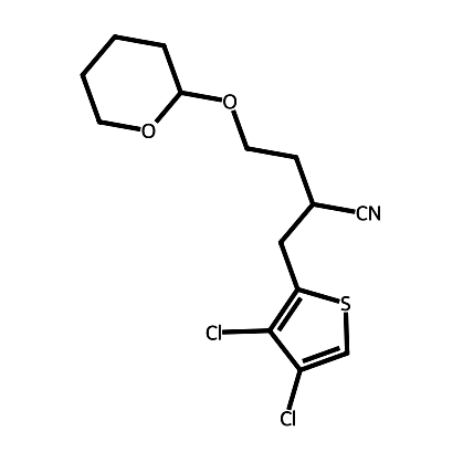 N#CC(CCOC1CCCCO1)Cc1scc(Cl)c1Cl